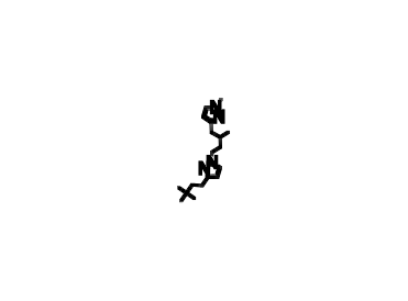 CC(CCn1ccc(CCC(C)(C)C)n1)Cc1ccn(C)n1